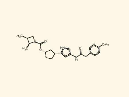 COc1ccc(CC(=O)Nc2cc([C@@H]3CC[C@H](OC(=O)N4C[C@H](C)[C@@H]4C)C3)[nH]n2)cn1